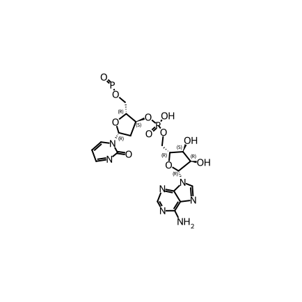 Nc1ncnc2c1ncn2[C@@H]1O[C@H](COP(=O)(O)O[C@H]2C[C@H](n3cccnc3=O)O[C@@H]2COP=O)[C@@H](O)[C@H]1O